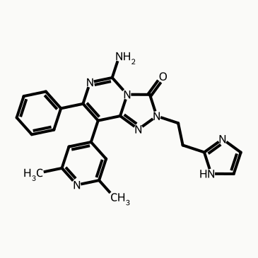 Cc1cc(-c2c(-c3ccccc3)nc(N)n3c(=O)n(CCc4ncc[nH]4)nc23)cc(C)n1